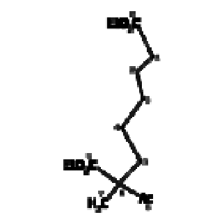 CCOC(=O)CCCCCC(C)(C(C)=O)C(=O)OCC